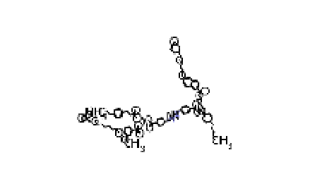 CCCCCC1CCC(OCC(COC(=O)c2ccc3cc(OCCCOCC4CCC5OC5C4)ccc3c2)OC(=O)c2ccc(/C=N/N=C/c3ccc(C(=O)OC(COC(=O)CCc4ccc(CCC)cc4)COC(=O)c4ccc(OCCCCCCOCC5(CC)COC5)c(OC)c4)cc3)cc2)CC1